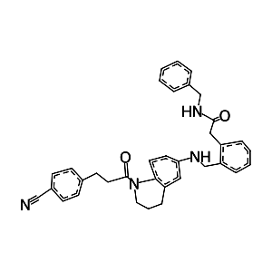 N#Cc1ccc(CCC(=O)N2CCCc3cc(NCc4ccccc4CC(=O)NCc4ccccc4)ccc32)cc1